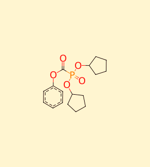 O=C(Oc1ccccc1)P(=O)(OC1CCCC1)OC1CCCC1